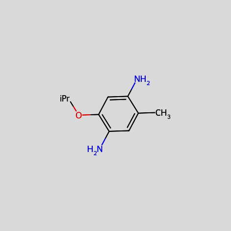 Cc1cc(N)c(OC(C)C)cc1N